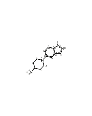 NC1CCN(c2ccc3[nH]ncc3c2)CC1